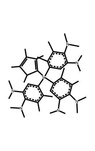 CC1=C(C)C(C)C([Si](c2cc(N(C)C)c(N(C)C)c(C)c2C)(c2cc(N(C)C)c(N(C)C)c(C)c2C)c2cc(N(C)C)c(N(C)C)c(C)c2C)=C1C